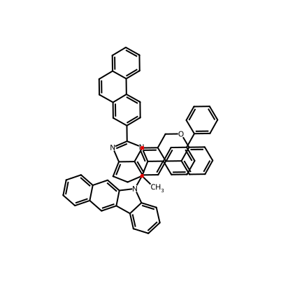 CC1C/C=C(c2cc3c(cc2-n2c4ccccc4c4cc5ccccc5cc42)-c2ccccc2OC3)/N=C(c2ccc3c(ccc4ccccc43)c2)\N=C/1c1cccc(-c2ccccc2)c1